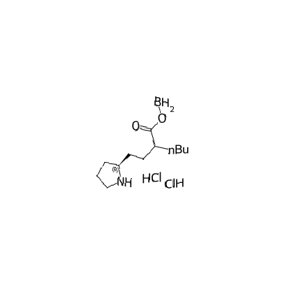 BOC(=O)C(CCCC)CC[C@@H]1CCCN1.Cl.Cl